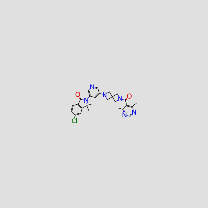 Cc1ncnc(C)c1C(=O)N1CC2(C1)CN(c1cncc(N3C(=O)c4ccc(Cl)cc4C3(C)C)c1)C2